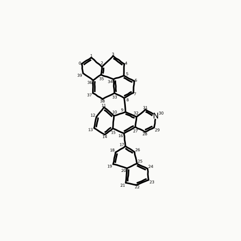 C1=Cc2ccc3ccc(-c4c5ccccc5c(-c5ccc6ccccc6c5)c5ccncc45)c4c3c2C(=CC4)C1